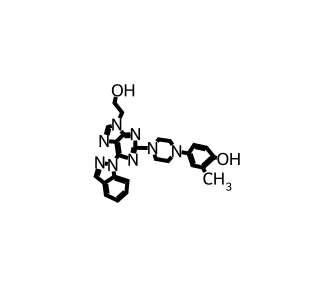 Cc1cc(N2CCN(c3nc(-n4ncc5ccccc54)c4ncn(CCO)c4n3)CC2)ccc1O